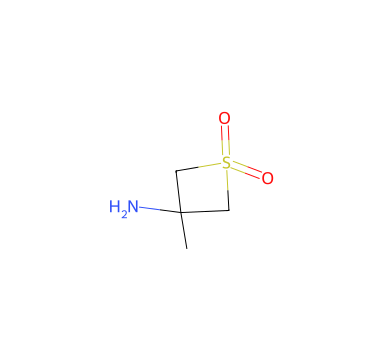 CC1(N)CS(=O)(=O)C1